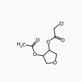 CC(=O)OC1COCC1OC(=O)CCl